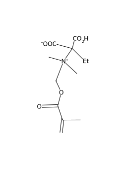 C=C(C)C(=O)OC[N+](C)(C)C(CC)(C(=O)[O-])C(=O)O